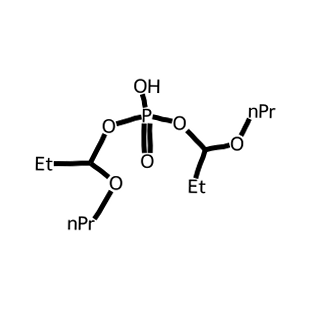 CCCOC(CC)OP(=O)(O)OC(CC)OCCC